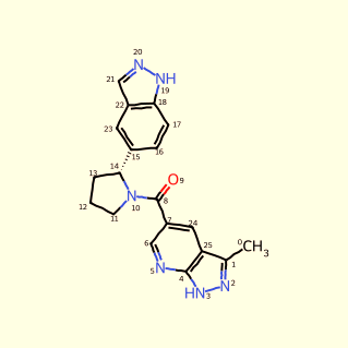 Cc1n[nH]c2ncc(C(=O)N3CCC[C@@H]3c3ccc4[nH]ncc4c3)cc12